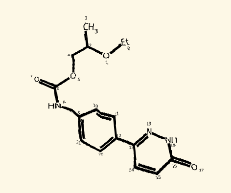 CCOC(C)COC(=O)Nc1ccc(-c2ccc(=O)[nH]n2)cc1